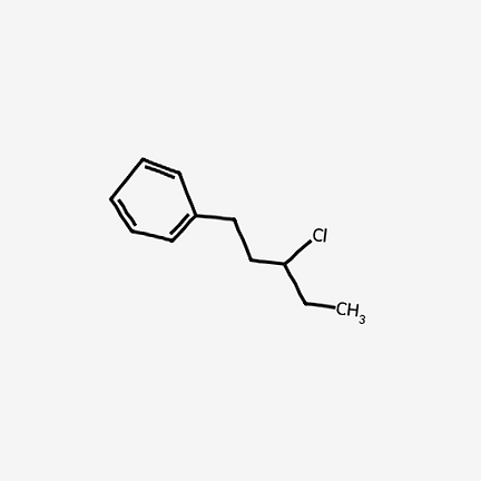 CCC(Cl)CCc1ccccc1